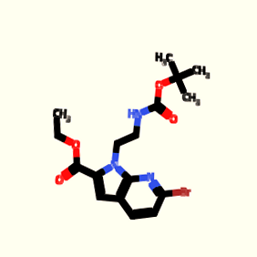 CCOC(=O)c1cc2ccc(Br)nc2n1CCNC(=O)OC(C)(C)C